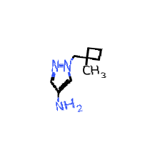 CC1(Cn2cc(N)cn2)CCC1